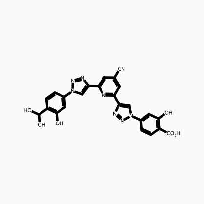 N#Cc1cc(-c2cn(-c3ccc(C(=O)O)c(O)c3)nn2)nc(-c2cn(-c3ccc(C(O)O)c(O)c3)nn2)c1